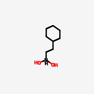 O[SiH](O)CCC1CCCCC1